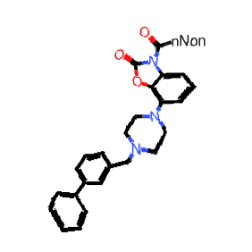 CCCCCCCCCC(=O)n1c(=O)oc2c(N3CCN(Cc4cccc(-c5ccccc5)c4)CC3)cccc21